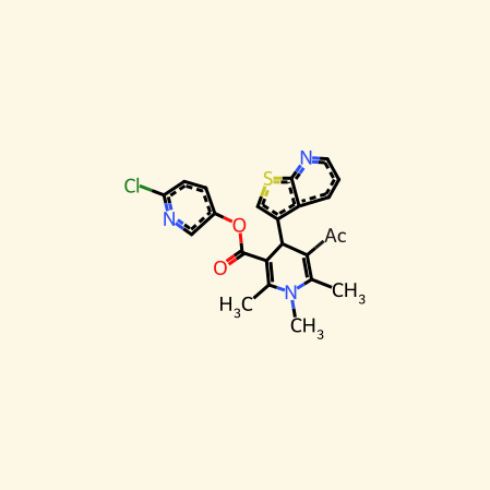 CC(=O)C1=C(C)N(C)C(C)=C(C(=O)Oc2ccc(Cl)nc2)C1c1csc2ncccc12